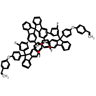 C=Cc1ccc(Oc2ccc(C3(c4cc(F)cc(F)c4)c4ccccc4-c4ccc(N(c5cccc(F)c5)c5ccc6c(c5)C5(c7ccccc7-6)c6ccccc6-c6ccc(N(c7cccc(F)c7)c7ccc8c(c7)C(c7ccc(Oc9ccc(C=C)cc9)cc7)(c7cc(F)cc(F)c7)c7ccccc7-8)cc65)cc43)cc2)cc1